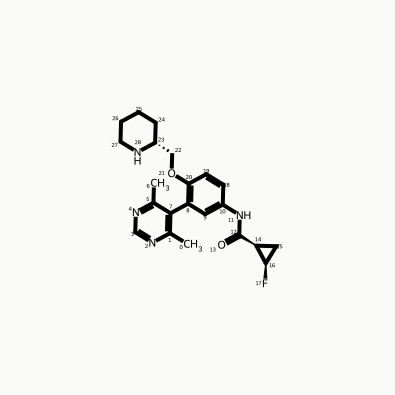 Cc1ncnc(C)c1-c1cc(NC(=O)[C@H]2C[C@H]2F)ccc1OC[C@H]1CCCCN1